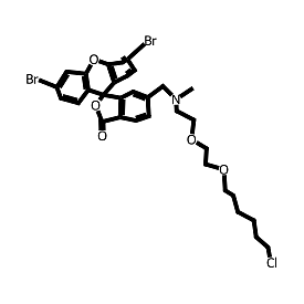 CN(CCOCCOCCCCCCCl)Cc1ccc2c(c1)C1(OC2=O)c2ccc(Br)cc2Oc2cc(Br)ccc21